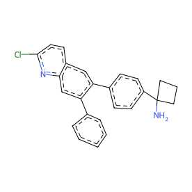 NC1(c2ccc(-c3cc4ccc(Cl)nc4cc3-c3ccccc3)cc2)CCC1